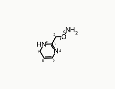 NOCC1=NC=CCN1